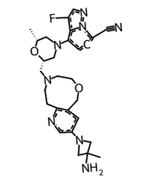 C[C@@H]1CN(c2ccc(C#N)n3ncc(F)c23)C[C@H](CN2CCOCc3cc(N4CC(C)(N)C4)cnc3CC2)O1